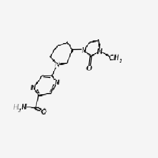 CN1CCN(C2CCCN(c3cnc(C(N)=O)cn3)C2)C1=O